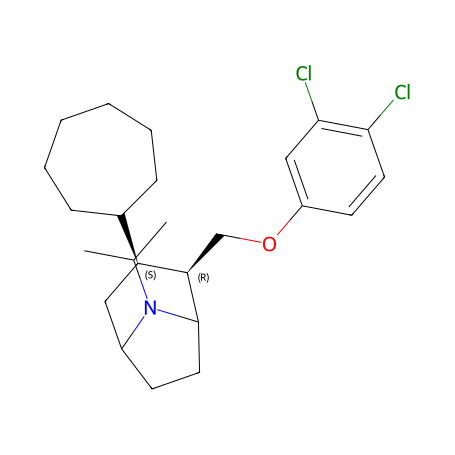 CC(C)N1C2CCC1[C@H](COc1ccc(Cl)c(Cl)c1)[C@H](C1CCCCCC1)C2